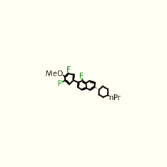 CCC[C@H]1CC[C@H](c2ccc3c(F)c(-c4cc(F)c(OC)c(F)c4)ccc3c2)CC1